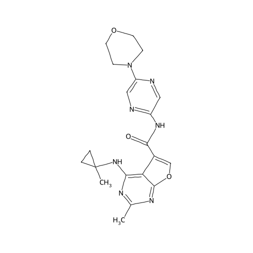 Cc1nc(NC2(C)CC2)c2c(C(=O)Nc3cnc(N4CCOCC4)cn3)coc2n1